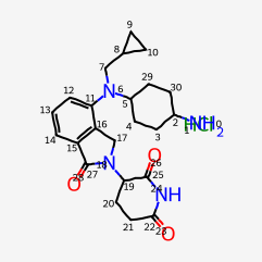 Cl.NC1CCC(N(CC2CC2)c2cccc3c2CN(C2CCC(=O)NC2=O)C3=O)CC1